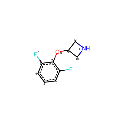 Fc1cccc(F)c1OC1CNC1